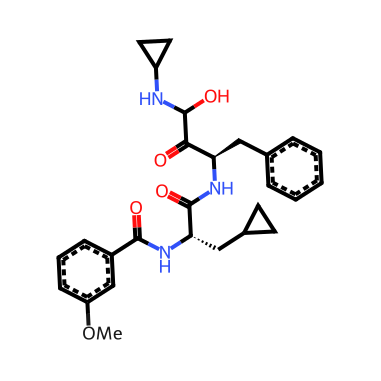 COc1cccc(C(=O)N[C@@H](CC2CC2)C(=O)N[C@H](Cc2ccccc2)C(=O)C(O)NC2CC2)c1